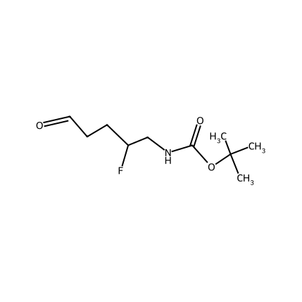 CC(C)(C)OC(=O)NCC(F)CCC=O